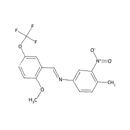 COc1ccc(OC(F)(F)F)cc1C=Nc1ccc(C)c([N+](=O)[O-])c1